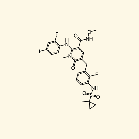 CONC(=O)c1cc(Cc2cccc(NS(=O)(=O)C3(C)CC3)c2F)c(=O)n(C)c1Nc1ccc(I)cc1F